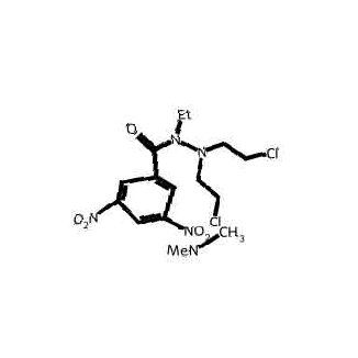 CCN(C(=O)c1cc([N+](=O)[O-])cc([N+](=O)[O-])c1)N(CCCl)CCCl.CNC